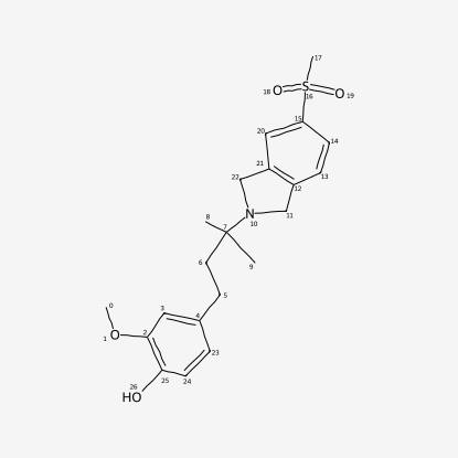 COc1cc(CCC(C)(C)N2Cc3ccc(S(C)(=O)=O)cc3C2)ccc1O